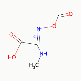 CN/C(=N\OC=O)C(=O)O